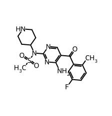 Cc1ccc(F)cc1C(=O)c1cnc(N(C2CCNCC2)S(C)(=O)=O)nc1N